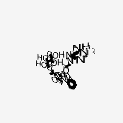 CC(C)OC(=O)[C@H](C)NP(=O)(CO[C@H](C)Cn1cnc2c(N)ncnc21)Oc1ccccc1.O=C(O)C(O)C(O)C(=O)O